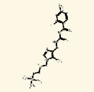 Cc1c(CNC(=O)NC(=O)c2ccc(C(F)(F)F)cc2F)ncn1COCC[Si](C)(C)C